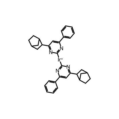 c1ccc(-c2cc(C3CC4CCC3C4)n[c]([Ir+][c]3nc(-c4ccccc4)cc(C4CC5CCC4C5)n3)n2)cc1